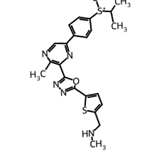 CNCc1ccc(-c2nnc(-c3nc(-c4ccc([S+]([O-])C(C)C)cc4)cnc3C)o2)s1